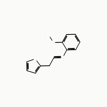 COc1ccccc1N=CCc1cccs1